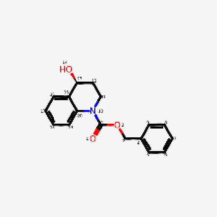 O=C(OCc1ccccc1)N1CC[C@H](O)c2ccccc21